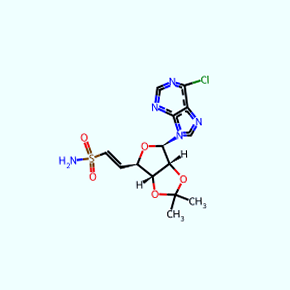 CC1(C)O[C@@H]2[C@H](O1)[C@@H](C=CS(N)(=O)=O)O[C@H]2n1cnc2c(Cl)ncnc21